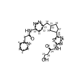 O=C(Cc1ccccn1)Nc1ccc(C[C@H]2CCC(c3nnc(NC(=O)CCO)s3)C2)nn1